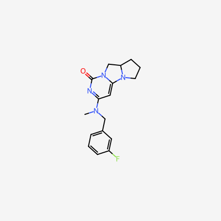 CN(Cc1cccc(F)c1)c1cc2n(c(=O)n1)CC1CCCN21